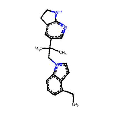 CCc1cccc2c1ccn2CC(C)(C)c1cnc2c(c1)CCN2